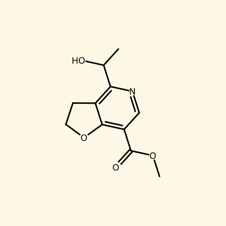 COC(=O)c1cnc(C(C)O)c2c1OCC2